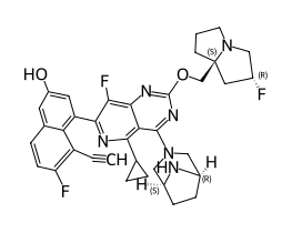 C#Cc1c(F)ccc2cc(O)cc(-c3nc(C4CC4)c4c(N5C[C@H]6CC[C@@H](C5)N6)nc(OC[C@@]56CCCN5C[C@H](F)C6)nc4c3F)c12